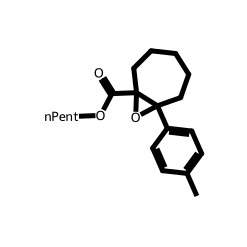 CCCCCOC(=O)C12CCCCCC1(c1ccc(C)cc1)O2